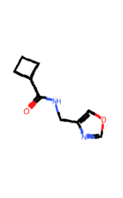 O=C(NCc1cocn1)C1CCC1